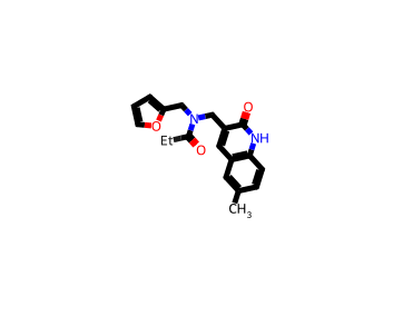 CCC(=O)N(Cc1ccco1)Cc1cc2cc(C)ccc2[nH]c1=O